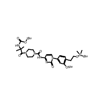 COc1cc(-n2ccc(NC(=O)N3CCN(C(=O)C(C)(C)NC(=O)OC(C)(C)C)CC3)nc2=O)ccc1CCO[Si](C)(C)C(C)(C)C